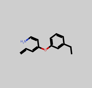 C=C/C=C(\C=C/N)Oc1cccc(CC)c1